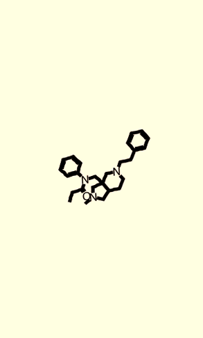 CCC(=O)N(CC12CN(C)CC1CCN(CCc1ccccc1)C2)c1ccccc1